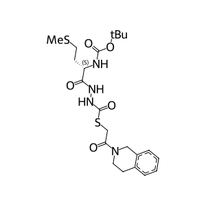 CSCC[C@H](NC(=O)OC(C)(C)C)C(=O)NNC(=O)SCC(=O)N1CCc2ccccc2C1